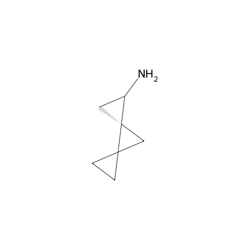 NC1C[C@@]12CC21CC1